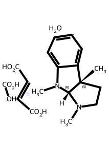 CN1CC[C@@]2(C)c3c[c]ccc3N(C)[C@@H]12.O.O=C(O)/C=C/C(=O)O.O=C(O)O